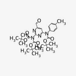 Cc1ccc(N(C(=O)OC(C)(C)C)c2cc(C=O)nc(N(C(=O)OC(C)(C)C)C(=O)OC(C)(C)C)n2)cc1